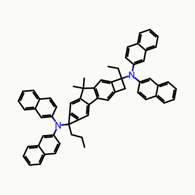 CCCC1(N(c2ccc3ccccc3c2)c2ccc3ccccc3c2)c2cc3c(cc21)C(C)(C)c1cc2c(cc1-3)CC2(CC)N(c1ccc2ccccc2c1)c1ccc2ccccc2c1